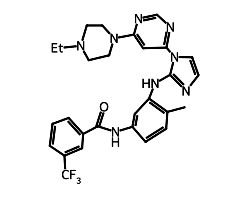 CCN1CCN(c2cc(-n3ccnc3Nc3cc(NC(=O)c4cccc(C(F)(F)F)c4)ccc3C)ncn2)CC1